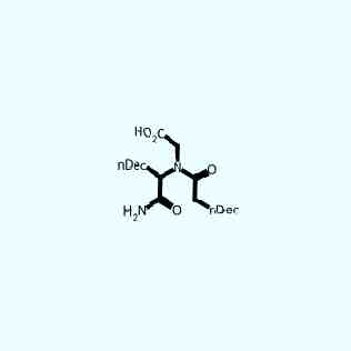 CCCCCCCCCCCC(=O)N(CC(=O)O)C(CCCCCCCCCC)C(N)=O